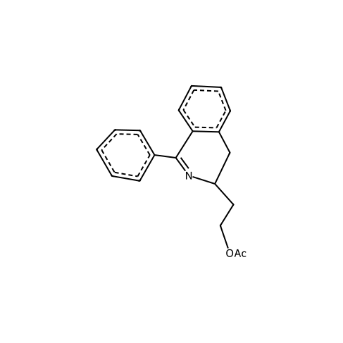 CC(=O)OCCC1Cc2ccccc2C(c2ccccc2)=N1